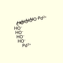 [C+4].[OH-].[OH-].[OH-].[OH-].[OH-].[OH-].[OH-].[OH-].[Pd+2].[Pd+2]